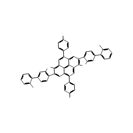 Cc1ccccc1-c1ccc2c(c1)oc1c2cc2c(-c3ccc(F)cc3)cc3c4oc5cc(-c6ccccc6C)ccc5c4cc4c(-c5ccc(F)cc5)cc1c2c43